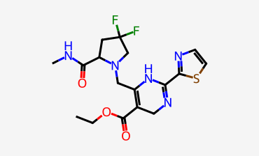 CCOC(=O)C1=C(CN2CC(F)(F)CC2C(=O)NC)NC(c2nccs2)=NC1